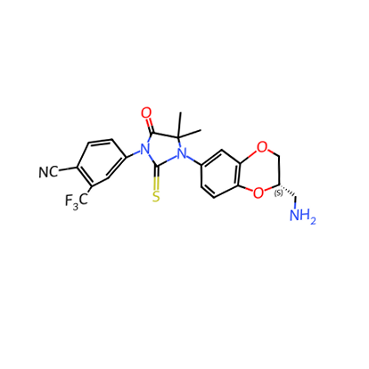 CC1(C)C(=O)N(c2ccc(C#N)c(C(F)(F)F)c2)C(=S)N1c1ccc2c(c1)OC[C@H](CN)O2